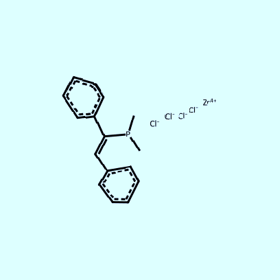 CP(C)C(=Cc1ccccc1)c1ccccc1.[Cl-].[Cl-].[Cl-].[Cl-].[Zr+4]